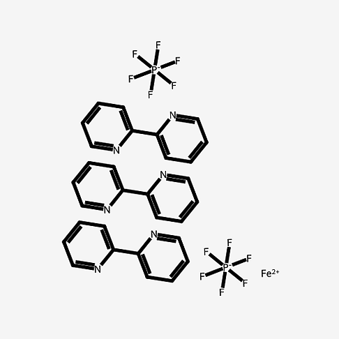 F[P-](F)(F)(F)(F)F.F[P-](F)(F)(F)(F)F.[Fe+2].c1ccc(-c2ccccn2)nc1.c1ccc(-c2ccccn2)nc1.c1ccc(-c2ccccn2)nc1